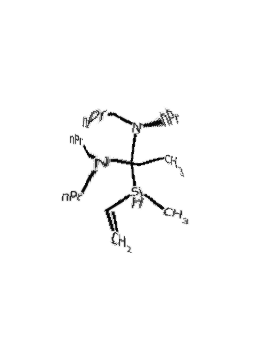 C=C[SiH](C)C(C)(N(CCC)CCC)N(CCC)CCC